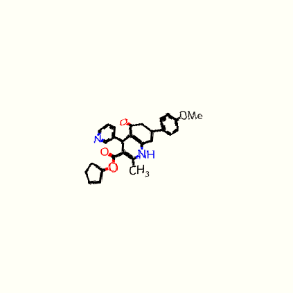 COc1ccc(C2CC(=O)C3=C(C2)NC(C)=C(C(=O)OC2CCCC2)C3c2cccnc2)cc1